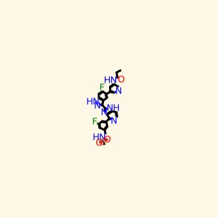 CCC(=O)Nc1cncc(-c2cc3c(-c4nc5c(-c6cc(F)cc(CNS(C)(=O)=O)c6)nccc5[nH]4)n[nH]c3cc2F)c1